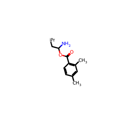 Cc1ccc(C(=O)OC(N)CC(C)C)c(C)c1